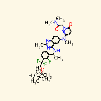 Cc1nc(N[C@H](C)c2cccc(C(F)(F)CO[Si](C)(C)C(C)(C)C)c2F)c2cc(N(C)c3ccc(=O)n(CC(=O)N(C)C)n3)ccc2n1